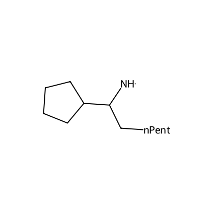 CCCCCCC([NH])C1CCCC1